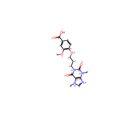 COc1cc(C(=O)O)ccc1OCCCn1c(=O)c2c(ncn2C)n(C)c1=O